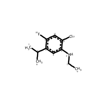 CCNc1cc(C(C)C)c(F)cc1Cl